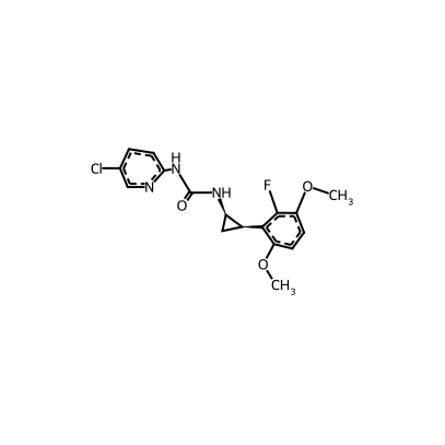 COc1ccc(OC)c([C@H]2C[C@H]2NC(=O)Nc2ccc(Cl)cn2)c1F